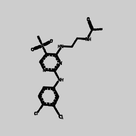 CC(=O)NCCNc1nc(Nc2ccc(Cl)c(Cl)c2)ncc1S(C)(=O)=O